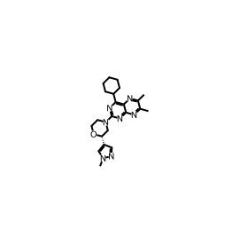 Cc1nc2nc(N3CCO[C@@H](c4cnn(C)c4)C3)nc(C3CCCCC3)c2nc1C